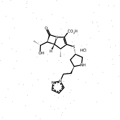 C[C@@H](O)[C@H]1C(=O)N2C(C(=O)O)=C(S[C@@H]3CN[C@@H](CCn4cccn4)C3)[C@H](C)[C@H]12.Cl